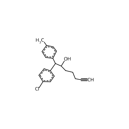 C#CCCCC(O)C(c1ccc(C)cc1)c1ccc(Cl)cc1